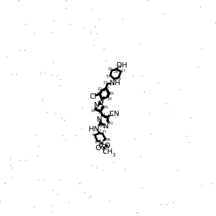 CS(=O)(=O)N1CCC(Nc2ncc(C#N)c(-c3cnn(-c4ccc(CNC5CCC(O)CC5)cc4Cl)c3)n2)CC1